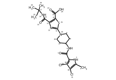 Cc1[nH]c(C(=O)NC2CCN(c3nc(C(=O)NC(C)(C)C)c(C(=O)O)s3)CC2)c(Cl)c1Cl